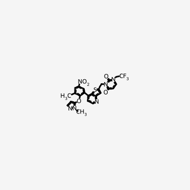 Cc1cc([N+](=O)[O-])cc(-c2ccnc3cc(Cn4c(=O)ccn(CC(F)(F)F)c4=O)sc23)c1Oc1ccnn1C